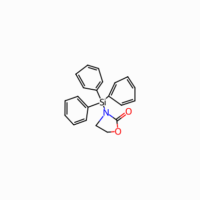 O=C1OCCN1[Si](c1ccccc1)(c1ccccc1)c1ccccc1